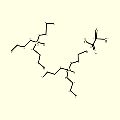 CCCC[N+](C)(CCCC)CCCC.CCCC[N+](C)(CCCC)CCCC.O=C([O-])C(=O)[O-]